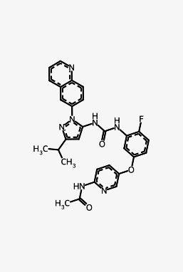 CC(=O)Nc1ccc(Oc2ccc(F)c(NC(=O)Nc3cc(C(C)C)nn3-c3ccc4ncccc4c3)c2)cn1